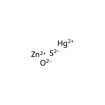 [Hg+2].[O-2].[S-2].[Zn+2]